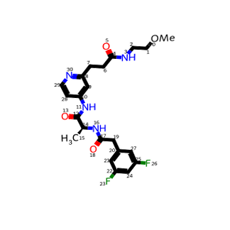 COCCNC(=O)CCc1cc(NC(=O)[C@H](C)NC(=O)Cc2cc(F)cc(F)c2)ccn1